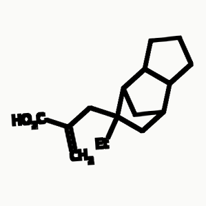 C=C(CC1(CC)CC2CC1C1CCCC21)C(=O)O